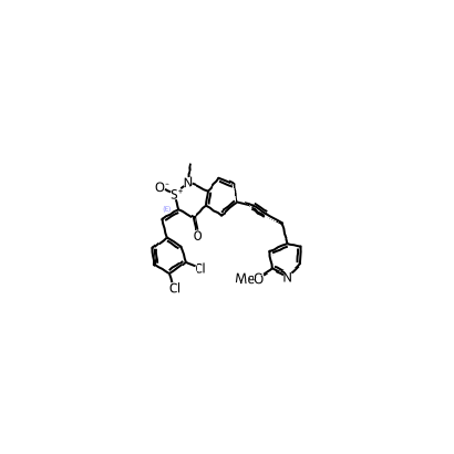 COc1cc(CC#Cc2ccc3c(c2)C(=O)/C(=C\c2ccc(Cl)c(Cl)c2)[S+]([O-])N3C)ccn1